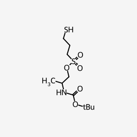 CC(COS(=O)(=O)CCCS)NC(=O)OC(C)(C)C